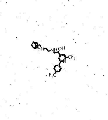 O[C@H](CNCCNCC1C2=CC=C1C2)c1cc(-c2ccc(C(F)(F)F)cc2)nc(C(F)(F)F)c1